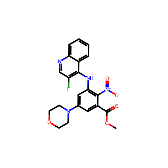 COC(=O)c1cc(N2CCOCC2)cc(Nc2c(F)cnc3ccccc23)c1[N+](=O)[O-]